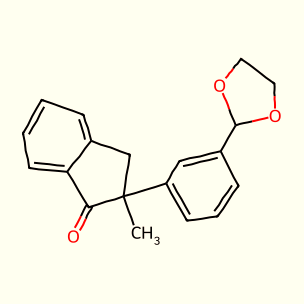 CC1(c2cccc(C3OCCO3)c2)Cc2ccccc2C1=O